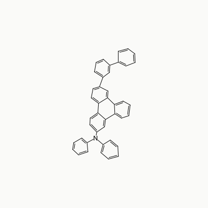 c1ccc(-c2cccc(-c3ccc4c5ccc(N(c6ccccc6)c6ccccc6)cc5c5ccccc5c4c3)c2)cc1